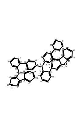 c1ccc(-c2ccc(N(c3ccc(-c4ccccc4-n4c5ccccc5c5ccccc54)cc3)c3ccccc3-c3ccc4c(c3)oc3ccccc34)cc2)cc1